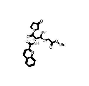 CC(C)C(OCC(=O)OC(C)(C)C)[C@H](NC(=O)c1ccc2ccccc2n1)C(=O)N1CCC(=O)C1